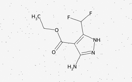 CCOC(=O)c1c(N)n[nH]c1C(F)F